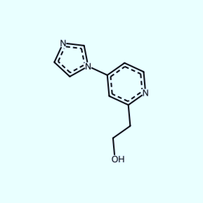 OCCc1cc(-n2ccnc2)ccn1